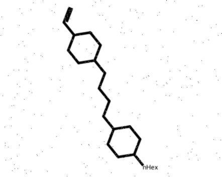 C=CC1CCC(CCCCC2CCC(CCCCCC)CC2)CC1